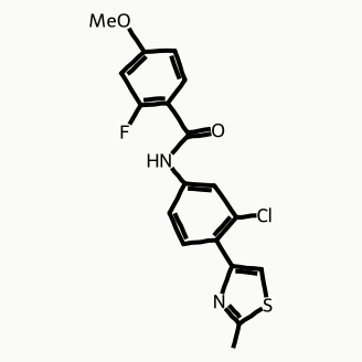 COc1ccc(C(=O)Nc2ccc(-c3csc(C)n3)c(Cl)c2)c(F)c1